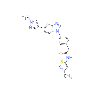 Cc1cc(NC(=O)Cc2ccc(-n3cnc4cc(-c5cnn(C)c5)ccc43)cc2)sn1